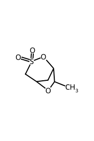 CC1OC2CC1OS(=O)(=O)C2